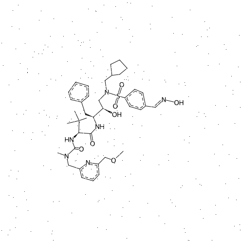 COCc1cccc(CN(C)C(=O)N[C@H](C(=O)N[C@@H](Cc2ccccc2)[C@H](O)CN(CC2CCCC2)S(=O)(=O)c2ccc(C=NO)cc2)C(C)(C)C)n1